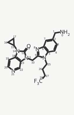 NCc1ccc2c(c1)nc(Cn1c(=O)n(C3CC3)c3ccncc31)n2CCCC(F)(F)F